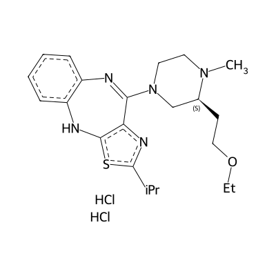 CCOCC[C@H]1CN(C2=Nc3ccccc3Nc3sc(C(C)C)nc32)CCN1C.Cl.Cl